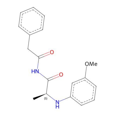 COc1cccc(N[C@@H](C)C(=O)NC(=O)Cc2ccccc2)c1